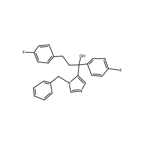 OC(CCc1ccc(F)cc1)(c1ccc(F)cc1)c1cncn1Cc1ccccc1